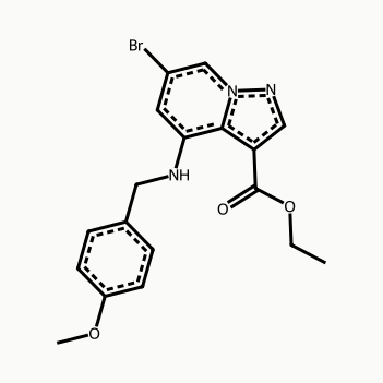 CCOC(=O)c1cnn2cc(Br)cc(NCc3ccc(OC)cc3)c12